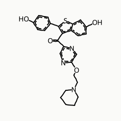 O=C(c1cnc(OCCN2CCCCC2)cn1)c1c(-c2ccc(O)cc2)sc2cc(O)ccc12